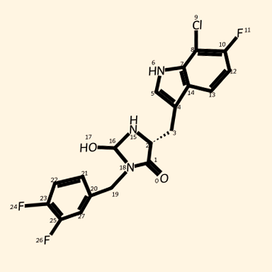 O=C1[C@@H](Cc2c[nH]c3c(Cl)c(F)ccc23)NC(O)N1Cc1ccc(F)c(F)c1